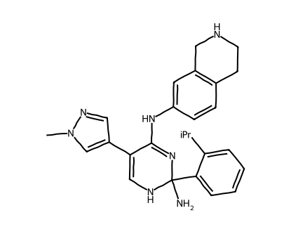 CC(C)c1ccccc1C1(N)N=C(Nc2ccc3c(c2)CNCC3)C(c2cnn(C)c2)=CN1